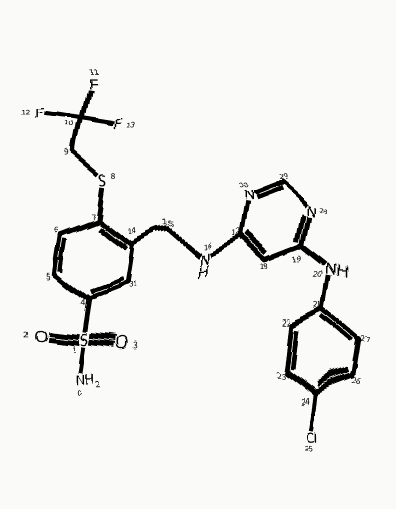 NS(=O)(=O)c1ccc(SCC(F)(F)F)c(CNc2cc(Nc3ccc(Cl)cc3)ncn2)c1